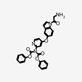 NCC(=O)n1ccc2cc(Oc3ccnc(N(C(=O)Oc4ccccc4)C(=O)Oc4ccccc4)c3)ccc21